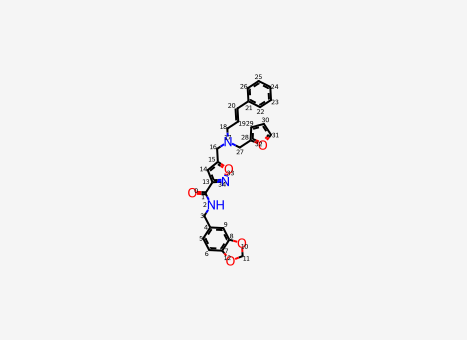 O=C(NCc1ccc2c(c1)OCO2)c1cc(CN(C/C=C/c2ccccc2)Cc2ccco2)on1